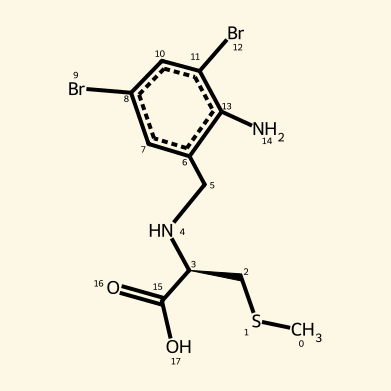 CSC[C@H](NCc1cc(Br)cc(Br)c1N)C(=O)O